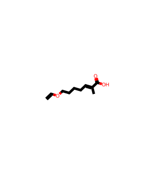 C=COCCCC/C=C(\C)C(=O)O